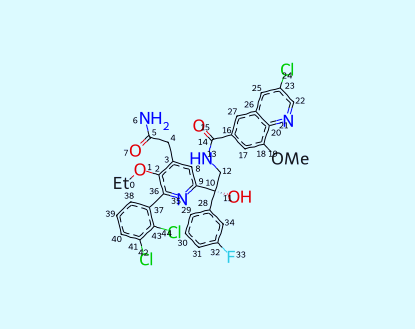 CCOc1c(CC(N)=O)cc([C@@](O)(CNC(=O)c2cc(OC)c3ncc(Cl)cc3c2)c2cccc(F)c2)nc1-c1cccc(Cl)c1Cl